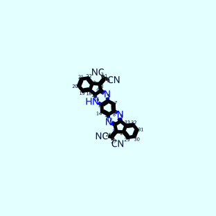 N#CC(C#N)=C1C2=Nc3cc4nc5c(nc4cc3NC2c2ccccc21)C(=C(C#N)C#N)c1ccccc1-5